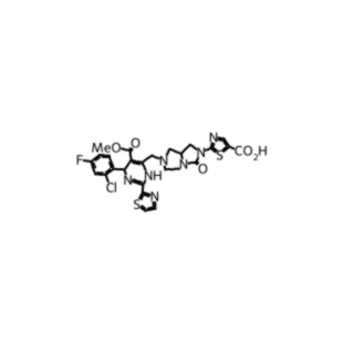 COC(=O)C1=C(CN2CCN3C(=O)N(c4ncc(C(=O)O)s4)CC3C2)NC(c2nccs2)=NC1c1ccc(F)cc1Cl